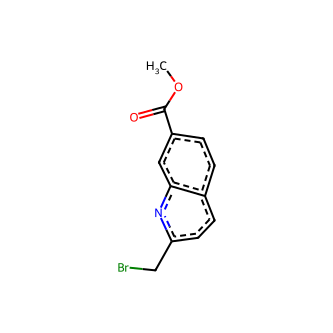 COC(=O)c1ccc2ccc(CBr)nc2c1